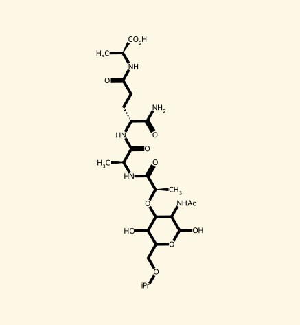 CC(=O)NC1C(O)OC(COC(C)C)C(O)C1O[C@H](C)C(=O)N[C@@H](C)C(=O)N[C@H](CCC(=O)N[C@@H](C)C(=O)O)C(N)=O